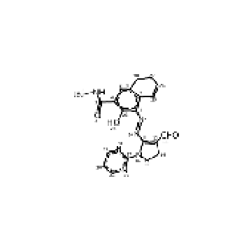 CC(C)(C)NC(=O)c1cc2c(c(/N=N/C3=C(C=O)CCN3c3ncccn3)c1O)C=CCC2